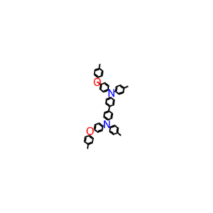 Cc1ccc(Oc2ccc(N(c3ccc(C)cc3)c3ccc(-c4ccc(N(c5ccc(C)cc5)c5ccc(Oc6ccc(C)cc6)cc5)cc4)cc3)cc2)cc1